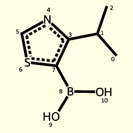 CC(C)c1ncsc1B(O)O